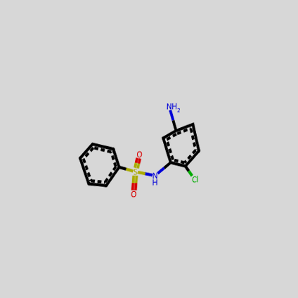 Nc1ccc(Cl)c(NS(=O)(=O)c2ccccc2)c1